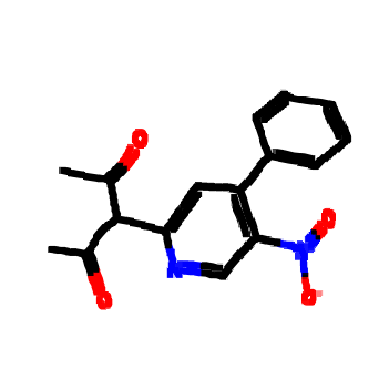 CC(=O)C(C(C)=O)c1cc(-c2ccccc2)c([N+](=O)[O-])cn1